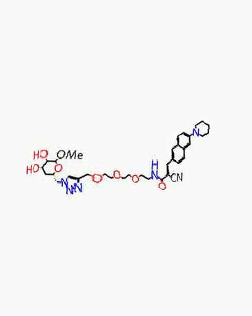 CO[C@H]1O[C@H](Cn2cc(COCCOCCOCCNC(=O)/C(C#N)=C/c3ccc4cc(N5CCCCC5)ccc4c3)nn2)C[C@H](O)[C@H]1O